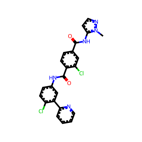 Cn1nccc1NC(=O)c1ccc(C(=O)Nc2ccc(Cl)c(-c3ccccn3)c2)c(Cl)c1